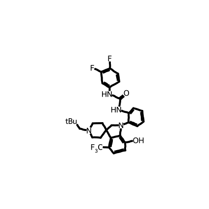 CC(C)(C)CN1CCC2(CC1)CN(c1ccccc1NC(=O)Nc1ccc(F)c(F)c1)c1c(O)ccc(C(F)(F)F)c12